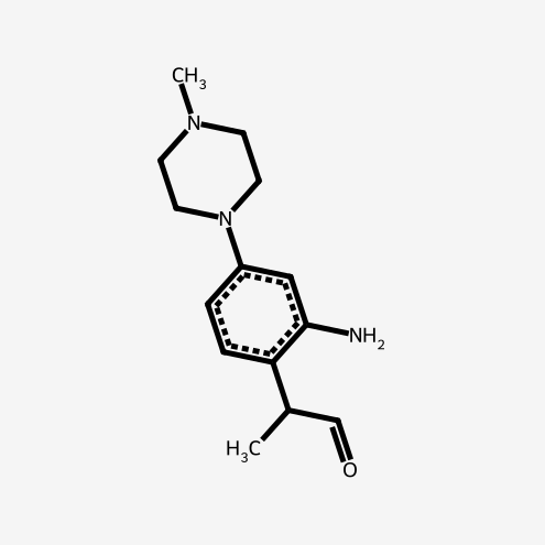 CC(C=O)c1ccc(N2CCN(C)CC2)cc1N